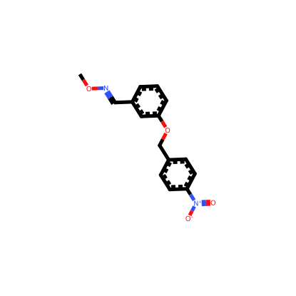 CON=Cc1cccc(OCc2ccc([N+](=O)[O-])cc2)c1